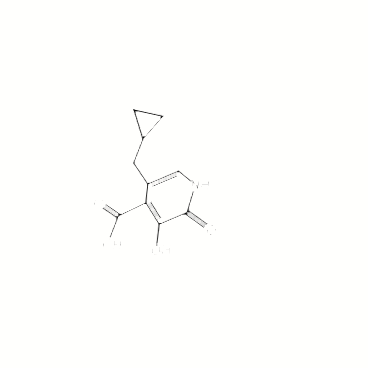 O=C(O)c1c(CC2CC2)c[nH]c(=O)c1O